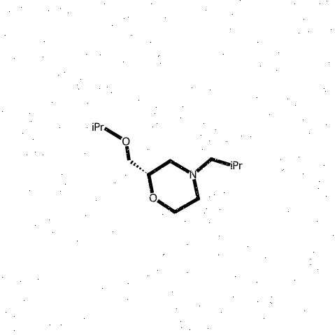 CC(C)CN1CCO[C@H](COC(C)C)C1